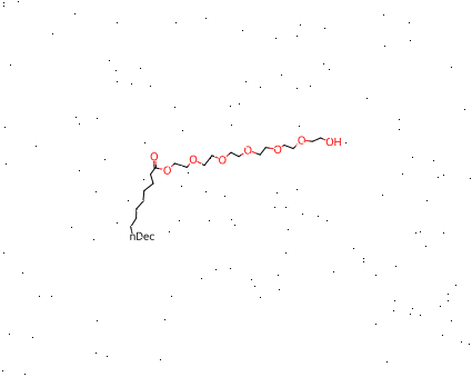 CCCCCCCCCCCCCCCCCC(=O)OCCOCCOCCOCCOCCOCCO